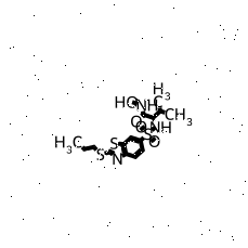 CCCSc1nc2ccc(S(=O)(=O)N[C@@H](C(=O)NO)C(C)C)cc2s1